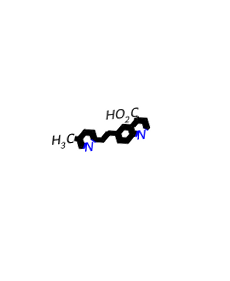 Cc1ccc(/C=C/c2ccc3nccc(C(=O)O)c3c2)nc1